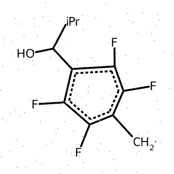 [CH2]c1c(F)c(F)c(C(O)C(C)C)c(F)c1F